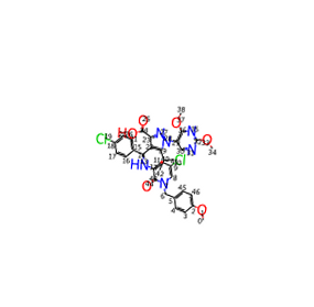 COc1ccc(Cn2cc(Cl)cc(NC(c3ccc(Cl)cc3)c3c(C(=O)O)nn(-c4cnc(OC)nc4OC)c3C(C)C)c2=O)cc1